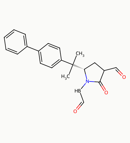 CC(C)(c1ccc(-c2ccccc2)cc1)[C@@H]1CC(C=O)C(=O)N1BC=O